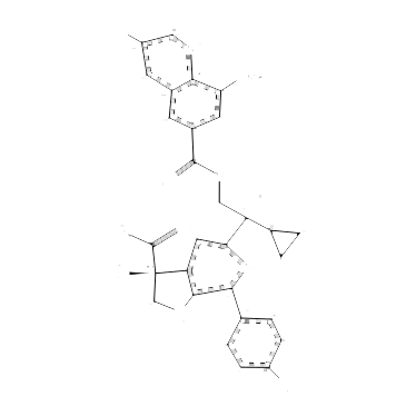 COc1cc(C(=O)NC[C@](O)(c2cc3c(c(-c4ccc(F)cc4)n2)OC[C@]3(C)C(N)=O)C2CC2)cc2cc(C(F)(F)F)cnc12